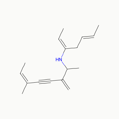 C=C(C#C/C(C)=C\C)C(C)N/C(=C/C)CC=CC